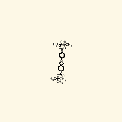 CC(C)(C)OC(=O)N1CCC2(CC1)CN(c1ccc(B3OC(C)(C)C(C)(C)O3)cc1)C2